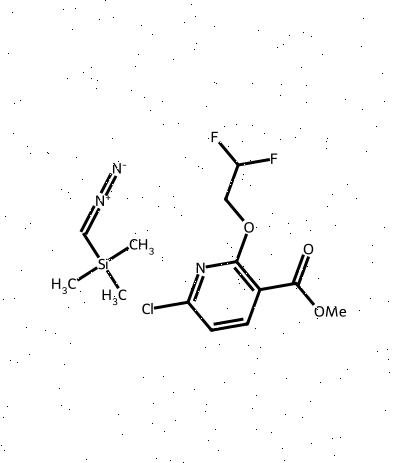 COC(=O)c1ccc(Cl)nc1OCC(F)F.C[Si](C)(C)C=[N+]=[N-]